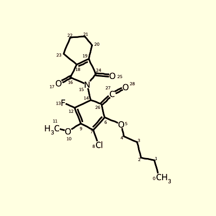 CCCCCOC1=C(Cl)C(OC)=C(F)C(N2C(=O)C3=C(CCCC3)C2=O)C1=C=O